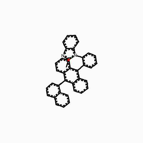 Cc1nc2ccccc2n1-c1ccccc1-c1c2ccccc2c(-c2cccc3ccccc23)c2ccccc12